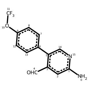 Nc1cc(C=O)c(-c2ccc(OC(F)(F)F)cc2)cn1